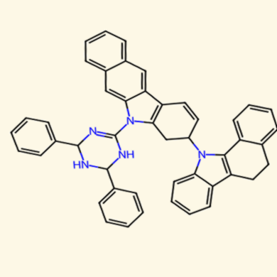 C1=CC(n2c3c(c4ccccc42)CCc2ccccc2-3)Cc2c1c1cc3ccccc3cc1n2C1=NC(c2ccccc2)NC(c2ccccc2)N1